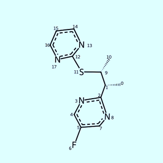 C[C@H](c1ncc(F)cn1)[C@@H](C)Sc1ncccn1